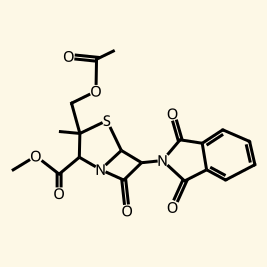 COC(=O)C1N2C(=O)C(N3C(=O)c4ccccc4C3=O)C2SC1(C)COC(C)=O